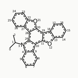 CC(C)n1c2ccccc2c2c3oc4ccccc4c3c3oc4ccccc4c3c21